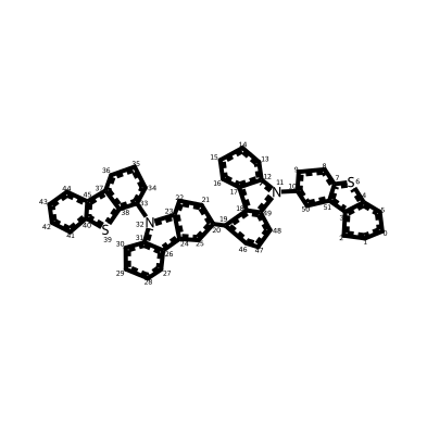 c1ccc2c(c1)sc1ccc(-n3c4ccccc4c4c(-c5ccc6c(c5)c5ccccc5n6-c5cccc6c5sc5ccccc56)cccc43)cc12